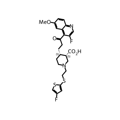 COc1ccc2ncc(F)c(C(=O)CC[C@H]3CCN(CCSc4cc(F)cs4)C[C@H]3C(=O)O)c2c1